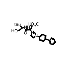 CC(C)(C)C(CO)NC(=O)C(CC(=O)O)N1C=CN(c2ccc(-c3ccccc3)cc2)C1